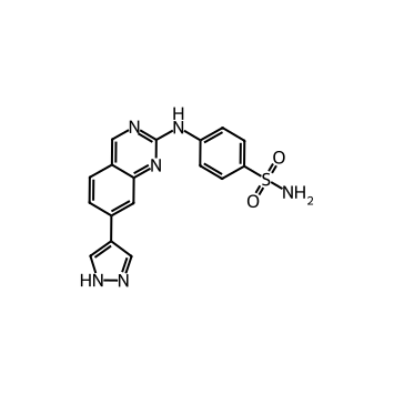 NS(=O)(=O)c1ccc(Nc2ncc3ccc(-c4cn[nH]c4)cc3n2)cc1